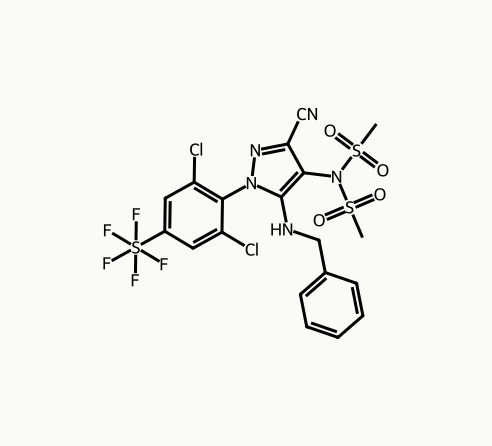 CS(=O)(=O)N(c1c(C#N)nn(-c2c(Cl)cc(S(F)(F)(F)(F)F)cc2Cl)c1NCc1ccccc1)S(C)(=O)=O